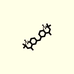 CC1CC(C)(C)N(C)C2CCC(CC3CCC4C(C3)C(C)CC(C)(C)N4C)CC12